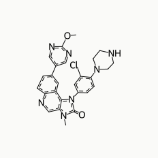 COc1ncc(-c2ccc3ncc4c(c3c2)n(-c2ccc(N3CCNCC3)c(Cl)c2)c(=O)n4C)cn1